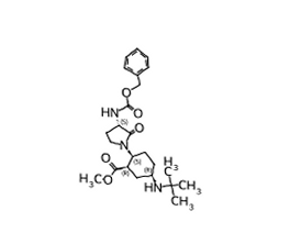 COC(=O)[C@@H]1C[C@H](NC(C)(C)C)CC[C@@H]1N1CC[C@H](NC(=O)OCc2ccccc2)C1=O